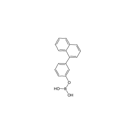 OB(O)Oc1cccc(-c2cccc3ccccc23)c1